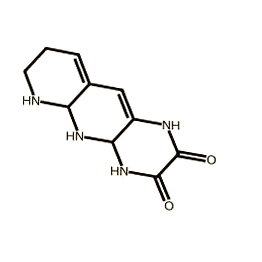 O=C1NC2=CC3=CCCNC3NC2NC1=O